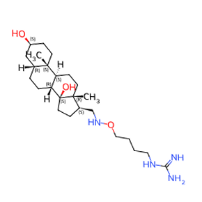 C[C@]12CC[C@H](O)C[C@H]1CC[C@@H]1[C@@H]2CC[C@]2(C)[C@@H](CNOCCCCNC(=N)N)CC[C@]12O